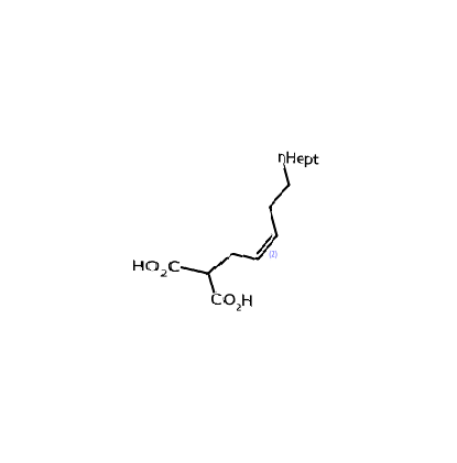 CCCCCCCCC/C=C\CC(C(=O)O)C(=O)O